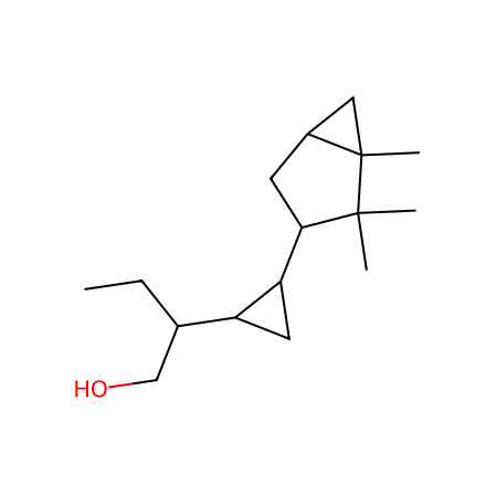 CCC(CO)C1CC1C1CC2CC2(C)C1(C)C